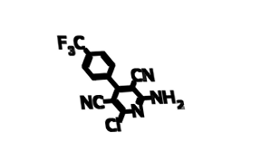 N#Cc1c(N)nc(Cl)c(C#N)c1-c1ccc(C(F)(F)F)cc1